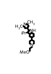 COCCCN1CCC(c2ccc3[nH]c(-c4cc(C)nc(C)c4)c(C(C)C)c3c2)CC1